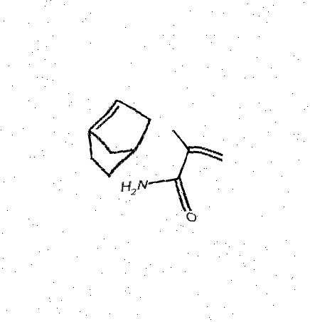 C1=C2CCC(C1)C2.C=C(C)C(N)=O